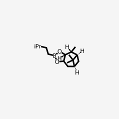 CC(C)CCB1OC2C[C@@H]3C[C@H]([C@@H](C)[C@H]2O1)C3(C)C